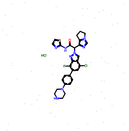 Cl.O=C(Nc1nccs1)C(c1ncn2c1CCC2)n1cc2c(Cl)cc(-c3ccc(N4CCNCC4)cc3)c(F)c2n1